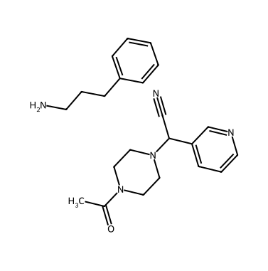 CC(=O)N1CCN(C(C#N)c2cccnc2)CC1.NCCCc1ccccc1